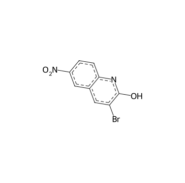 O=[N+]([O-])c1ccc2nc(O)c(Br)cc2c1